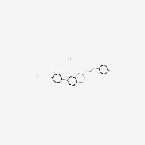 CCCOc1cc(-c2ccc3c(c2)C[C@@H](NC[C@@H](O)c2ccc(Cl)cc2)CC3)ccc1C(=O)O.Cl